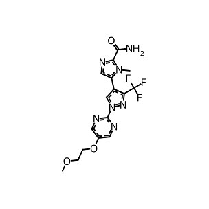 COCCOc1cnc(-n2cc(-c3cnc(C(N)=O)n3C)c(C(F)(F)F)n2)nc1